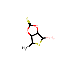 BC1SC(C)C2OC(=S)OC12